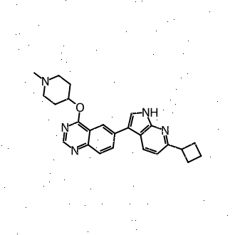 CN1CCC(Oc2ncnc3ccc(-c4c[nH]c5nc(C6CCC6)ccc45)cc23)CC1